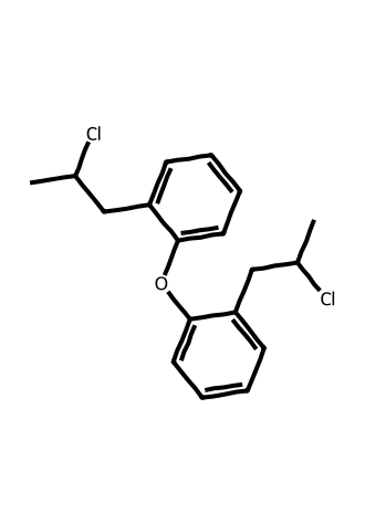 CC(Cl)Cc1ccccc1Oc1ccccc1CC(C)Cl